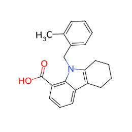 Cc1ccccc1Cn1c2c(c3cccc(C(=O)O)c31)CCCC2